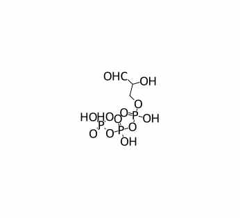 O=CC(O)COP(=O)(O)OP(=O)(O)OP(=O)(O)O